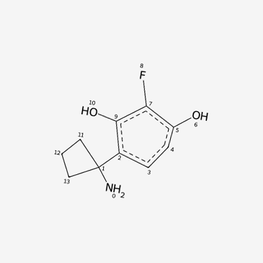 NC1(c2ccc(O)c(F)c2O)CCC1